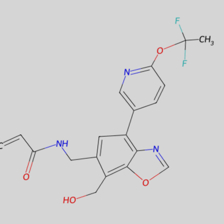 C=CC(=O)NCc1cc(-c2ccc(OC(C)(F)F)nc2)c2ncoc2c1CO